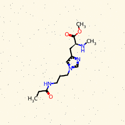 CCC(=O)NCCCn1cnc(C[C@H](NC)C(=O)OC)c1